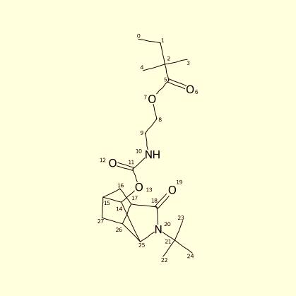 CCC(C)(C)C(=O)OCCNC(=O)OC1C2CC3C(=O)N(C(C)(C)C)C1C3C2